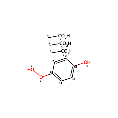 CC(=O)O.CC(=O)O.CC(=O)O.OOc1ccc(O)cc1